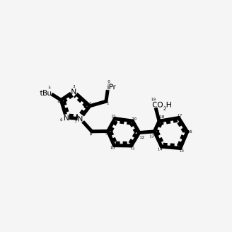 CC(C)Cc1nc(C(C)(C)C)nn1Cc1ccc(-c2ccccc2C(=O)O)cc1